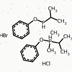 Br.CC(C)POc1ccccc1.CC(C)[PH](C)(C)Oc1ccccc1.Cl